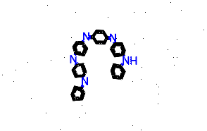 C1=CC(=Nc2ccc(N=C3C=CC(=Nc4ccc(Nc5ccccc5)cc4)C=C3)cc2)C=CC1=Nc1ccccc1